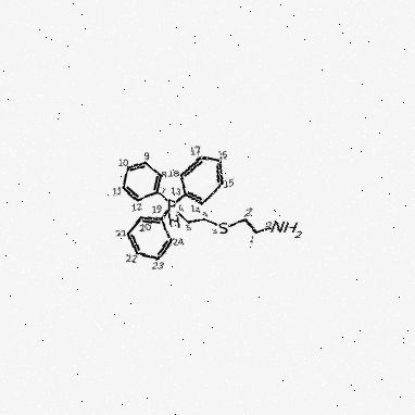 NCCSCC[PH](c1ccccc1)(c1ccccc1)c1ccccc1